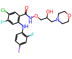 O=C(NOCC(O)CN1CCOCC1)c1cc(Cl)c(F)cc1Nc1ccc(I)cc1F